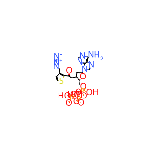 [N-]=[N+]=NCc1ccsc1C(=O)CC1C[C@H](n2cnc3c(N)ncnc32)O[C@@H]1COP(=O)(O)OP(=O)(O)OP(=O)(O)O